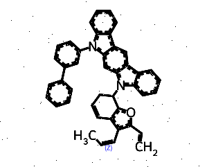 C=Cc1oc2c(c1/C=C\C)C=CCC2n1c2ccccc2c2cc3c4ccccc4n(-c4cccc(-c5ccccc5)c4)c3cc21